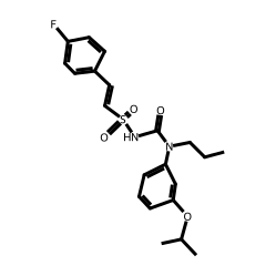 CCCN(C(=O)NS(=O)(=O)C=Cc1ccc(F)cc1)c1cccc(OC(C)C)c1